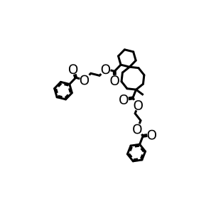 CC1(C(=O)OCCOC(=O)c2ccccc2)CCCC2(CCCCC2C(=O)OCCOC(=O)c2ccccc2)CCC1